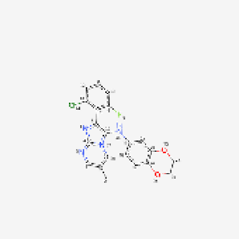 Cc1cnc2nc(-c3c(F)cccc3Cl)c(Nc3ccc4c(c3)OCCO4)n2c1